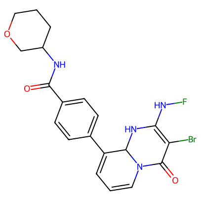 O=C(NC1CCCOC1)c1ccc(C2=CC=CN3C(=O)C(Br)=C(NF)NC23)cc1